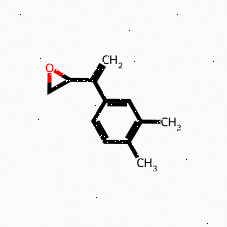 C=C(c1ccc(C)c(C)c1)C1CO1